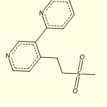 CS(=O)(=O)CCc1ccncc1-c1ccccn1